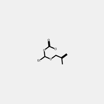 C=C(C)COC(CC)OC(=O)Cl